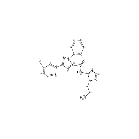 Cc1cc(-c2cn(-c3ccccc3)c(C(=O)Nc3nncn3CCN)n2)ccn1